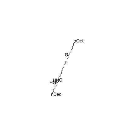 CCCCCCCCC=CCCCCCCCC(=O)CCCCCCCCCCCCCCC(=O)NC[C@H](O)CCCCCCCCCCCCCCCC